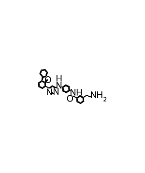 NCCc1cccc(C(=O)Nc2ccc(Nc3cc(-c4cccc5c4oc4ccccc45)ncn3)cc2)c1